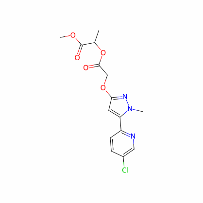 COC(=O)C(C)OC(=O)COc1cc(-c2ccc(Cl)cn2)n(C)n1